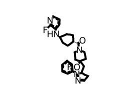 O=C([C@H]1CC[C@H](Nc2cccnc2F)CC1)N1CCC(O)(CC2CC=NN2c2ccccc2)CC1